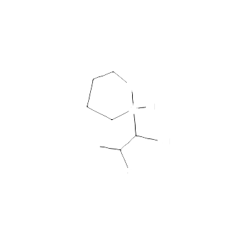 CC(C)C(S)[Si]1(C)CCCCO1